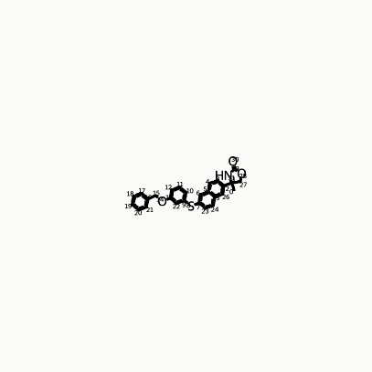 CC1(c2ccc3cc(Sc4cccc(OCc5ccccc5)c4)ccc3c2)COC(=O)N1